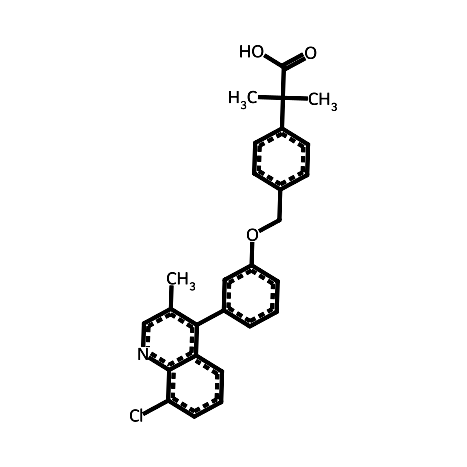 Cc1cnc2c(Cl)cccc2c1-c1cccc(OCc2ccc(C(C)(C)C(=O)O)cc2)c1